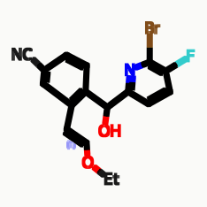 CCO/C=C/c1cc(C#N)ccc1C(O)c1ccc(F)c(Br)n1